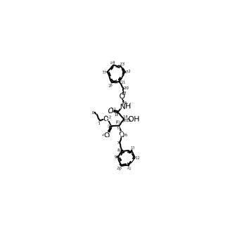 CCOC(=O)[C@H](OCc1ccccc1)[C@@H](O)C(=O)NOCc1ccccc1